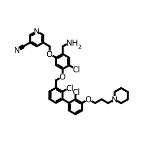 N#Cc1cncc(COc2cc(OCc3cccc(-c4cccc(OCCCN5CCCCC5)c4Cl)c3Cl)c(Cl)cc2CN)c1